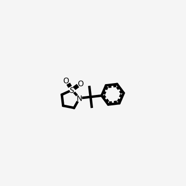 CC(C)(c1ccccc1)N1CCCS1(=O)=O